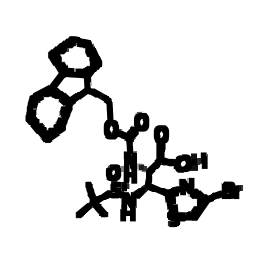 CC(C)(C)[S@+]([O-])N[C@H](c1nc(Br)cs1)[C@H](NC(=O)OCC1c2ccccc2-c2ccccc21)C(=O)O